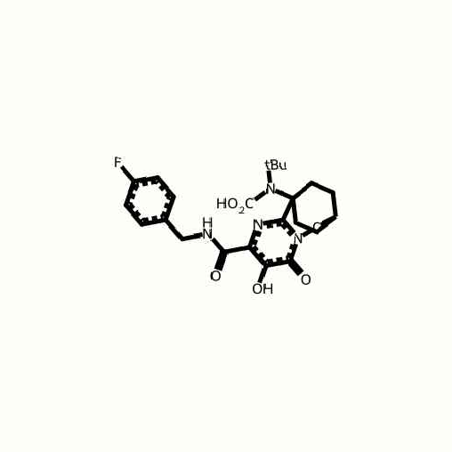 CC(C)(C)N(C(=O)O)C12CCC(CC1)Cn1c2nc(C(=O)NCc2ccc(F)cc2)c(O)c1=O